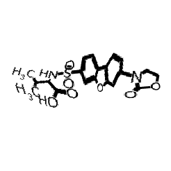 CC(C)[C@H](NS(=O)(=O)c1ccc2c(c1)oc1cc(N3CCOC3=O)ccc12)C(=O)O